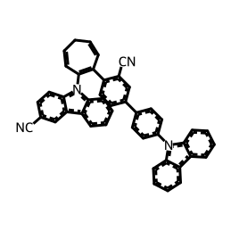 N#Cc1ccc2c(c1)c1ccccc1n2C1=C(c2ccc(-c3ccc(-n4c5ccccc5c5ccccc54)cc3)cc2C#N)C=CCC=C1